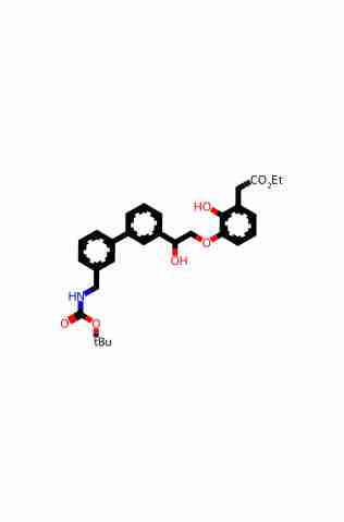 CCOC(=O)Cc1cccc(OCC(O)c2cccc(-c3cccc(CNC(=O)OC(C)(C)C)c3)c2)c1O